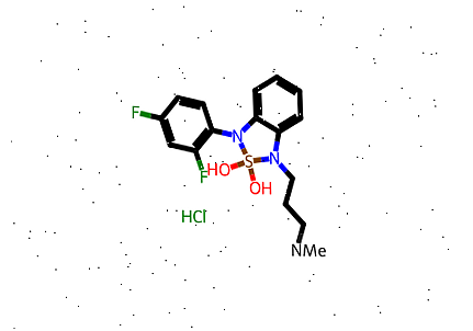 CNCCCN1c2ccccc2N(c2ccc(F)cc2F)S1(O)O.Cl